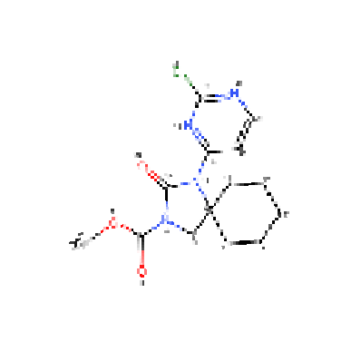 CC(C)(C)OC(=O)N1CC2(CCCCC2)N(c2ccnc(Cl)n2)C1=O